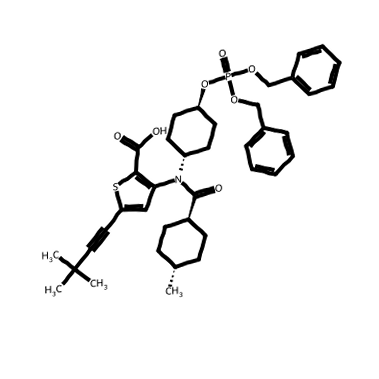 CC(C)(C)C#Cc1cc(N(C(=O)[C@H]2CC[C@H](C)CC2)[C@H]2CC[C@H](OP(=O)(OCc3ccccc3)OCc3ccccc3)CC2)c(C(=O)O)s1